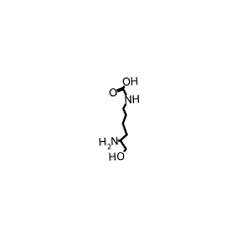 NC(CO)CCCCNC(=O)O